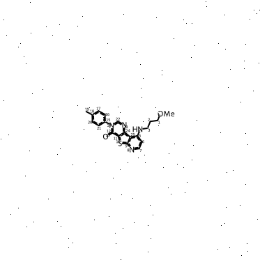 COCCCNc1ccnc2sc3c(=O)n(-c4ccc(C)cc4)cnc3c12